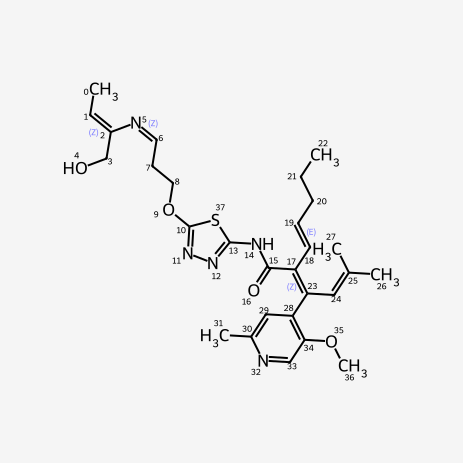 C/C=C(CO)\N=C/CCOc1nnc(NC(=O)C(/C=C/CCC)=C(/C=C(C)C)c2cc(C)ncc2OC)s1